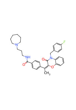 C/C(=C1\Oc2ccccc2N(Cc2ccc(F)cc2)C1=O)c1ccc(C(=O)NCCCN2CCCCCC2)cc1